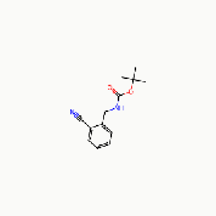 CC(C)(C)OC(=O)NCc1ccccc1C#N